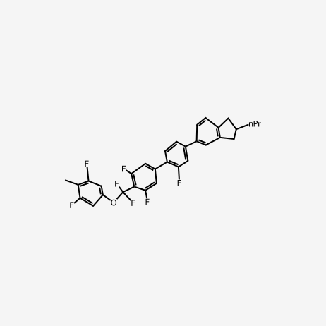 CCCC1Cc2ccc(-c3ccc(-c4cc(F)c(C(F)(F)Oc5cc(F)c(C)c(F)c5)c(F)c4)c(F)c3)cc2C1